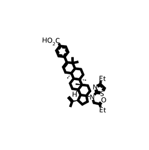 C=C(C)[C@@H]1CC[C@]2(N(CC(=O)CC)c3nc(CC)cs3)CC[C@]3(C)[C@H](CCC4[C@@]5(C)CC=C(c6ccc(C(=O)O)cc6)C(C)(C)C5CC[C@]43C)C12